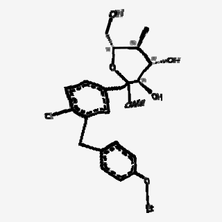 CCOc1ccc(Cc2cc(C3(OC)O[C@H](CO)[C@@H](C)[C@H](O)[C@H]3O)ccc2Cl)cc1